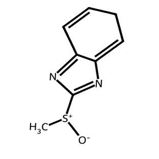 C[S+]([O-])C1=NC2=CCC=CC2=N1